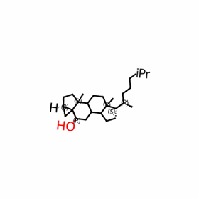 CC(C)CCC[C@@H](C)[C@@H]1CCC2C3C[C@@H](O)C45C[C@H]4CC[C@]5(C)C3CC[C@@]21C